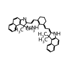 CC(=O)NC1=C(/C=C/C2=Nc3ccc4ccccc4c3C2(C)C)CCC/C1=C\C=C1\Nc2ccc3ccccc3c2C1(C)C